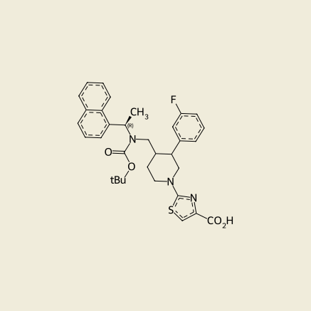 C[C@H](c1cccc2ccccc12)N(CC1CCN(c2nc(C(=O)O)cs2)CC1c1cccc(F)c1)C(=O)OC(C)(C)C